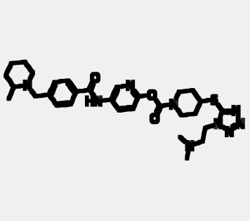 CC1CCCCN1Cc1ccc(C(=O)Nc2ccc(OC(=O)N3CCC(Sc4nnnn4CCN(C)C)CC3)nc2)cc1